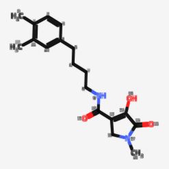 Cc1ccc(CCCCNC(=O)C2=C(O)C(=O)N(C)C2)cc1C